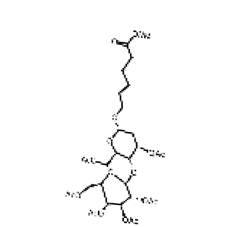 COC(=O)CCCCCO[C@@H]1C[C@@H](OC(C)=O)[C@H](O[C@@H]2O[C@H](COC(C)=O)[C@H](OC(C)=O)[C@H](OC(C)=O)[C@H]2OC(C)=O)[C@@H](COC(C)=O)O1